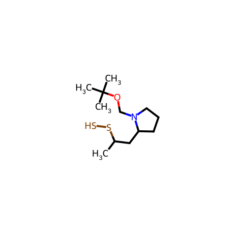 CC(CC1CCCN1COC(C)(C)C)SS